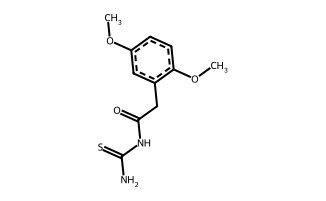 COc1ccc(OC)c(CC(=O)NC(N)=S)c1